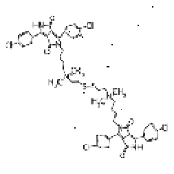 C[N+](C)(CCCCN1C(=O)C2=C(c3ccc(Cl)cc3)NC(=O)C2=C1C1=CC=C(Cl)CC1)CCSSCC[N+](C)(C)CCCCN1C(=O)C2=C(c3ccc(Cl)cc3)NC(=O)C2=C1c1ccc(Cl)cc1